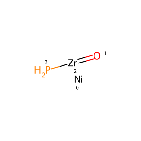 [Ni].[O]=[Zr][PH2]